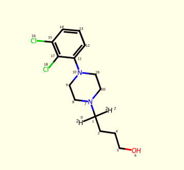 [2H]C([2H])(CCCO)N1CCN(c2cccc(Cl)c2Cl)CC1